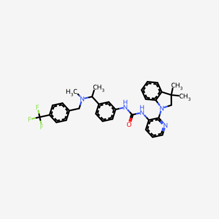 CC(c1cccc(NC(=O)Nc2cccnc2N2CC(C)(C)c3ccccc32)c1)N(C)Cc1ccc(C(F)(F)F)cc1